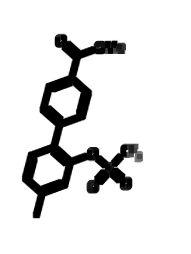 COC(=O)c1ccc(-c2ccc(C)cc2OS(=O)(=O)C(F)(F)F)cc1